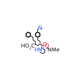 CNC(=O)[C@@H]1CCCNN1C(=O)[C@H](CCc1ccc(CN(C)C)cc1)C[C@H](CCCc1ccccc1)C(=O)O